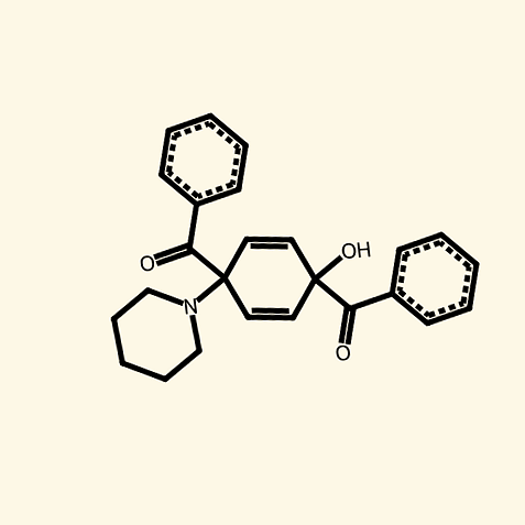 O=C(c1ccccc1)C1(O)C=CC(C(=O)c2ccccc2)(N2CCCCC2)C=C1